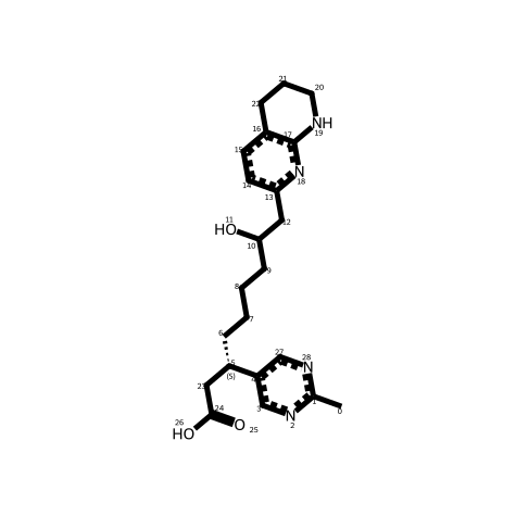 Cc1ncc([C@@H](CCCCC(O)Cc2ccc3c(n2)NCCC3)CC(=O)O)cn1